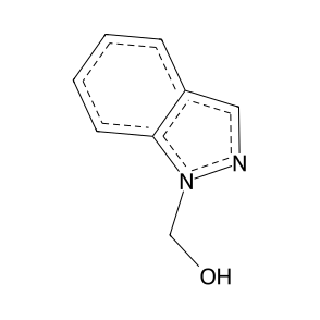 OCn1ncc2ccccc21